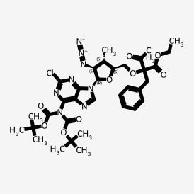 CCOC(=O)C(Cc1ccccc1)(OC[C@H]1O[C@@H](n2cnc3c(N(C(=O)OC(C)(C)C)C(=O)OC(C)(C)C)nc(Cl)nc32)[C@@H](N=[N+]=[N-])[C@@H]1C)C(C)=O